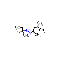 CCC(C)(Br)/N=N/C(C)CC(C)C